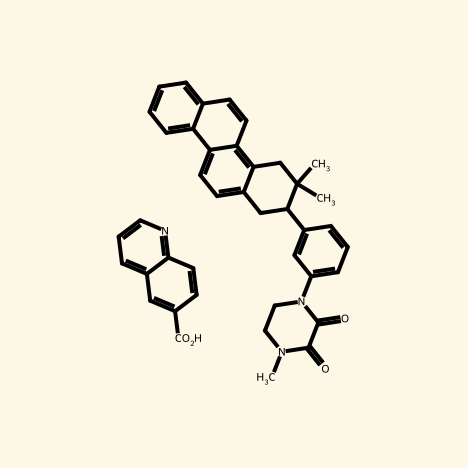 CN1CCN(c2cccc(C3Cc4ccc5c(ccc6ccccc65)c4CC3(C)C)c2)C(=O)C1=O.O=C(O)c1ccc2ncccc2c1